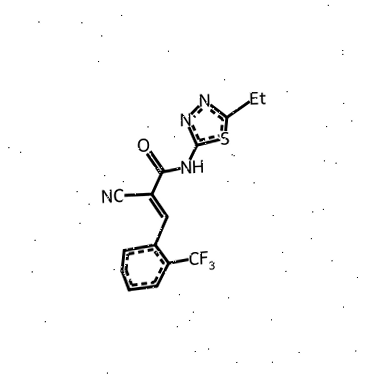 CCc1nnc(NC(=O)/C(C#N)=C/c2ccccc2C(F)(F)F)s1